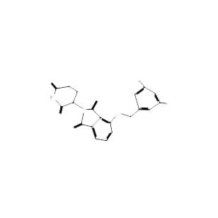 O=C1CCC(N2C(=O)c3cccc(OCc4cc(Cl)cc(Cl)c4)c3C2=O)C(=O)N1